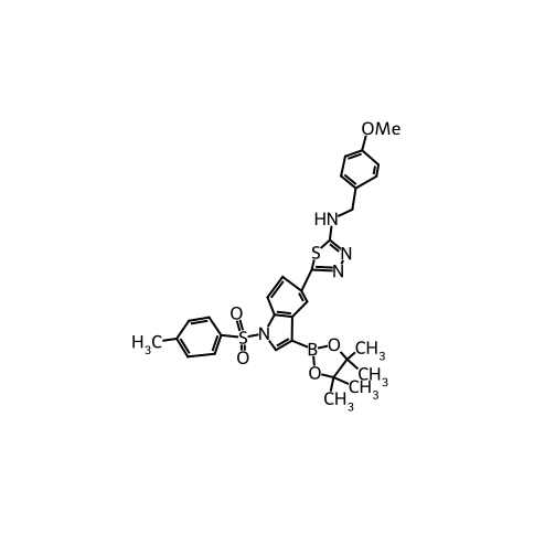 COc1ccc(CNc2nnc(-c3ccc4c(c3)c(B3OC(C)(C)C(C)(C)O3)cn4S(=O)(=O)c3ccc(C)cc3)s2)cc1